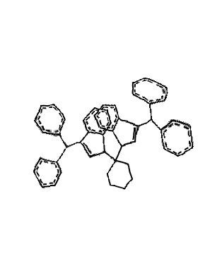 C1=C(C(c2ccccc2)c2ccccc2)c2ccccc2C1C1(C2C=C(C(c3ccccc3)c3ccccc3)c3ccccc32)CCCCC1